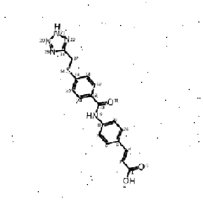 O=C(O)C=Cc1ccc(NC(=O)c2ccc(SCc3nn[nH]n3)cc2)cc1